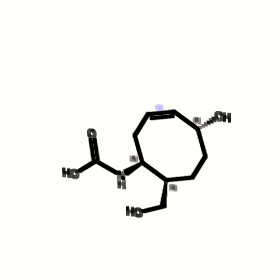 O=C(O)N[C@H]1C/C=C\[C@H](O)CC[C@H]1CO